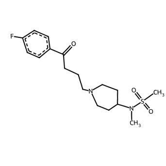 CN(C1CCN(CCCC(=O)c2ccc(F)cc2)CC1)S(C)(=O)=O